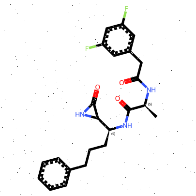 C[C@H](NC(=O)Cc1cc(F)cc(F)c1)C(=O)N[C@@H](CCCc1ccccc1)C1NC1=O